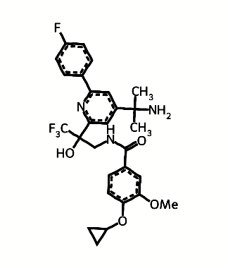 COc1cc(C(=O)NCC(O)(c2cc(C(C)(C)N)cc(-c3ccc(F)cc3)n2)C(F)(F)F)ccc1OC1CC1